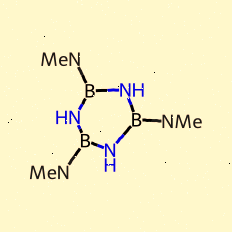 CNB1NB(NC)NB(NC)N1